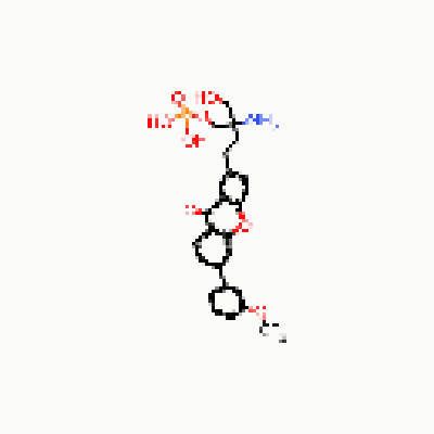 NC(CO)(CCc1ccc2oc3cc(-c4cccc(OC(F)(F)F)c4)ccc3c(=O)c2c1)COP(=O)(O)O